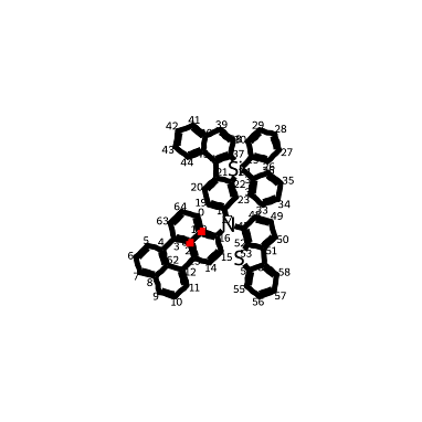 c1ccc(-c2cccc3cccc(-c4ccc(N(c5ccc6c(c5)[Si](c5ccccc5)(c5ccccc5)c5ccc7ccccc7c5-6)c5cccc6c5sc5ccccc56)cc4)c23)cc1